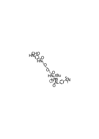 Cc1ncsc1-c1ccc(CNC(=O)[C@@H]2CCCN2C(=O)C(NC(=O)CCOCCOCCNC(=O)c2ccc(NC=O)cc2)C(C)(C)C)cc1